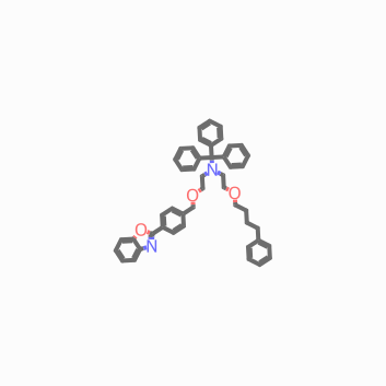 c1ccc(CCCCOCCN(CCOCc2ccc(-c3nc4ccccc4o3)cc2)C(c2ccccc2)(c2ccccc2)c2ccccc2)cc1